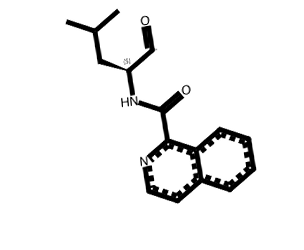 CC(C)C[C@@H]([C]=O)NC(=O)c1nccc2ccccc12